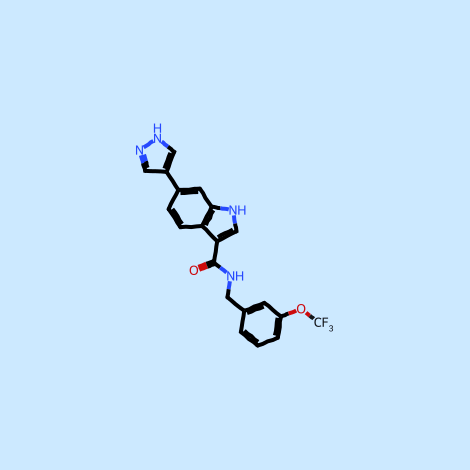 O=C(NCc1cccc(OC(F)(F)F)c1)c1c[nH]c2cc(-c3cn[nH]c3)ccc12